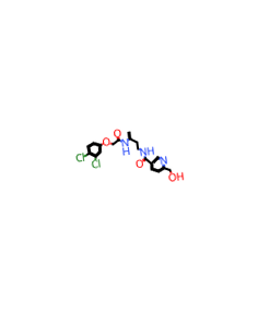 C=C(CCNC(=O)c1ccc(CO)nc1)NC(=O)COc1ccc(Cl)c(Cl)c1